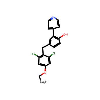 O=C(O)COc1cc(Cl)c(Cc2ccc(O)c(-c3ccncc3)c2)c(Cl)c1